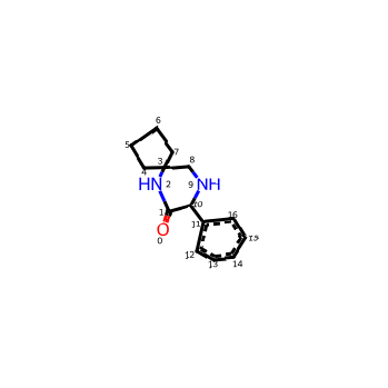 O=C1NC2(CCCC2)CNC1c1ccccc1